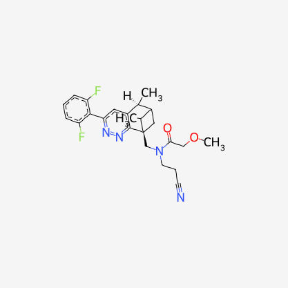 COCC(=O)N(CCC#N)C[C@]12CC(C1C)[C@H](C)c1cc(-c3c(F)cccc3F)nnc12